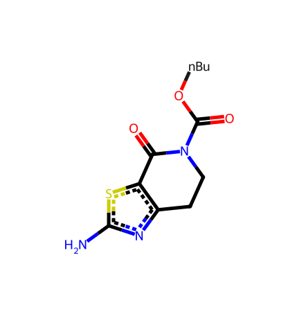 CCCCOC(=O)N1CCc2nc(N)sc2C1=O